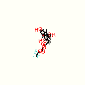 C[C@H](CCC(=O)OCC(=O)OCC(F)C(C)(F)F)[C@H]1CC[C@H]2[C@@H]3[C@H](O)C[C@@H]4C[C@H](O)CC[C@]4(C)[C@H]3C[C@H](O)[C@]12C